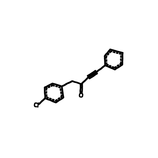 O=C(C#Cc1ccccc1)Cc1ccc(Cl)cc1